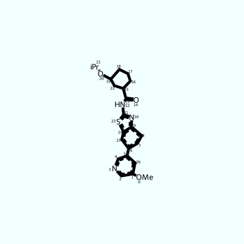 COc1cncc(-c2ccc3nc(NC(=O)C4CCCC(OC(C)C)C4)sc3c2)c1